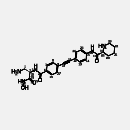 NC[C@H](NC(=O)c1ccc(C#Cc2ccc(NC(=O)[C@@H]3CCCCN3)cc2)cc1)C(=O)NO